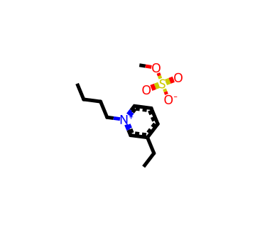 CCCC[n+]1cccc(CC)c1.COS(=O)(=O)[O-]